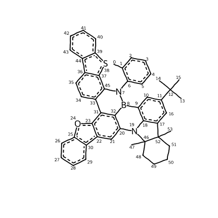 Cc1ccccc1N1B2c3cc(C(C)(C)C)cc4c3N(c3cc5c(oc6ccccc65)c(c32)-c2ccc3c(sc5ccccc53)c21)C1(C)CCCCC41C